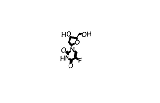 O=c1[nH]c(=O)n([C@@H]2C[C@H](O)[C@@H](CO)O2)cc1F